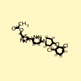 CC(=O)OCc1nnc(-c2ccc(N3CCC(Oc4c(Cl)cccc4Cl)CC3)nn2)s1